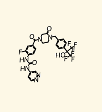 O=C(Nc1ccnnc1)Nc1ccc(C(=O)N2CCN(Cc3ccc(C(O)(C(F)(F)F)C(F)(F)F)cc3)C(=O)C2)cc1F